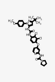 COc1ccc(-n2nc(C(C)(C)C)cc2NC(=O)Nc2ccc(Oc3ccnc(NC(=O)N4CCCC4)c3)c(Cl)c2Cl)cc1